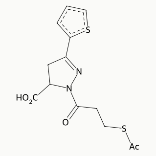 CC(=O)SCCC(=O)N1N=C(c2cccs2)CC1C(=O)O